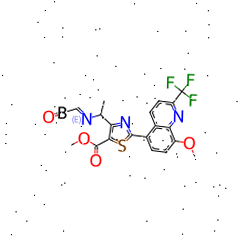 COC(=O)c1sc(-c2ccc(OC)c3nc(C(F)(F)F)ccc23)nc1C(C)/N=C/B=O